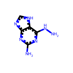 NNc1nc(N)nc2nc[nH]c12